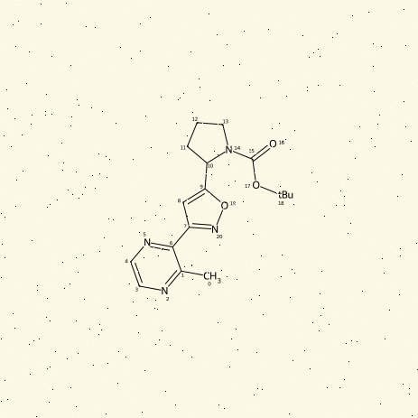 Cc1nccnc1-c1cc(C2CCCN2C(=O)OC(C)(C)C)on1